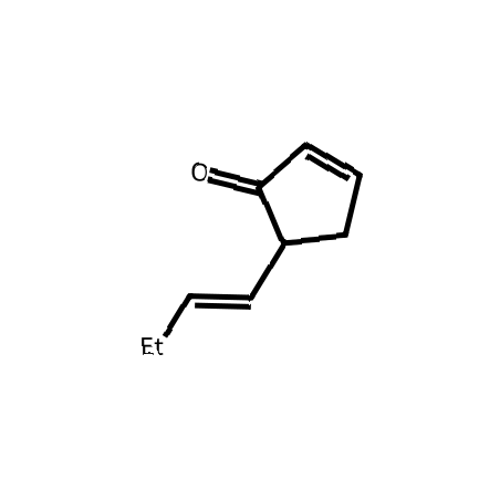 CCC=CC1CC=CC1=O